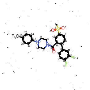 CS(=O)(=O)c1ccc(-c2ccc(F)c(F)c2)c(C(=O)N2CCN(c3ccc(C(F)(F)F)cc3)CC2)c1